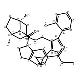 COC(=O)c1ccc2c(c1)N(C(=O)N1[C@@H]3CC[C@H]1CC(OCc1c(-c4ccccc4Cl)noc1C1CC1)C3)CC2